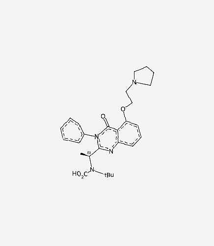 C[C@@H](c1nc2cccc(OCCN3CCCC3)c2c(=O)n1-c1ccccc1)N(C(=O)O)C(C)(C)C